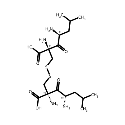 CC(C)C[C@H](N)C(=O)[C@](N)(CSSC[C@](N)(C(=O)O)C(=O)[C@@H](N)CC(C)C)C(=O)O